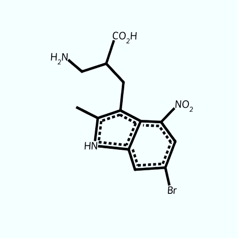 Cc1[nH]c2cc(Br)cc([N+](=O)[O-])c2c1CC(CN)C(=O)O